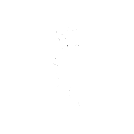 C/N=C(/C)S/C=C/C(=O)N1CCOC2(CCN(CCc3ccc(CCNC[C@H](OC)c4ccc(O)c5[nH]c(=O)sc45)s3)CC2)C1